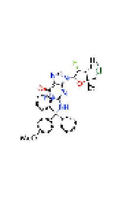 CC[C@@]1(CCl)O[C@@H](n2cnc3c(=O)[nH]c(NC(c4ccccc4)(c4ccccc4)c4ccc(OC)cc4)nc32)[C@@H](F)[C@@H]1C